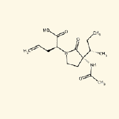 C=CC[C@@H](C(=O)O)N1CC[C@](NC(C)=O)([C@@H](C)CC)C1=O